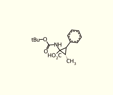 C[C@H]1C(c2ccccc2)C1(NC(=O)OC(C)(C)C)C(=O)O